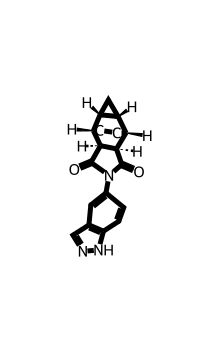 O=C1[C@@H]2[C@@H]3CC[C@@H]([C@@H]4C[C@@H]43)[C@@H]2C(=O)N1c1ccc2[nH]ncc2c1